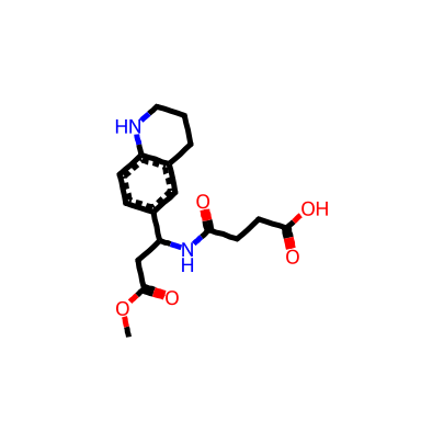 COC(=O)CC(NC(=O)CCC(=O)O)c1ccc2c(c1)CCCN2